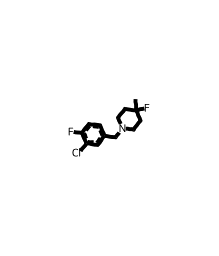 CC1(F)CCN(Cc2ccc(F)c(Cl)c2)CC1